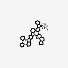 CC1(C)c2ccccc2-c2ccc(-c3nc4ccc5ccccc5c4nc3-n3c4ccccc4c4cc5c(cc43)c3cccc4c3n5-c3ccccc3-c3ccccc3-4)cc21